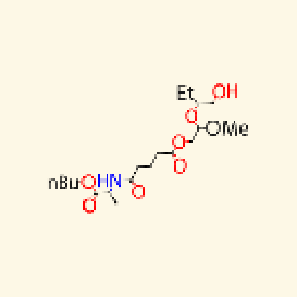 CCCCOC(=O)[C@H](C)NC(=O)CCCC(=O)OCC(OC)OC(CC)CO